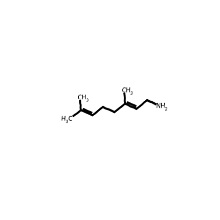 CC(C)=CCC/C(C)=C/CN